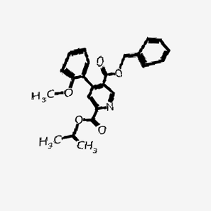 COc1ccccc1-c1cc(C(=O)OC(C)C)ncc1C(=O)OCc1ccccc1